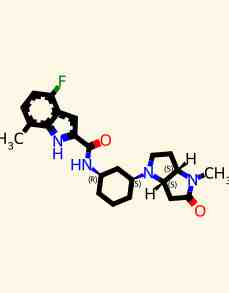 Cc1ccc(F)c2cc(C(=O)N[C@@H]3CCC[C@H](N4CC[C@H]5[C@@H]4CC(=O)N5C)C3)[nH]c12